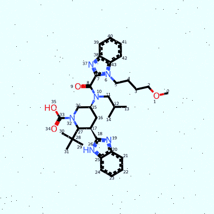 COCCCCn1c(C(=O)N(CC(C)C)[C@H]2C[C@@H](c3nc4ccccc4[nH]3)C(C(C)(C)C)N(C(=O)O)C2)nc2ccccc21